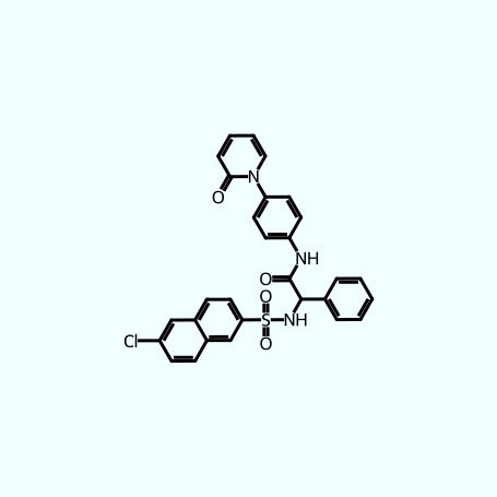 O=C(Nc1ccc(-n2ccccc2=O)cc1)C(NS(=O)(=O)c1ccc2cc(Cl)ccc2c1)c1ccccc1